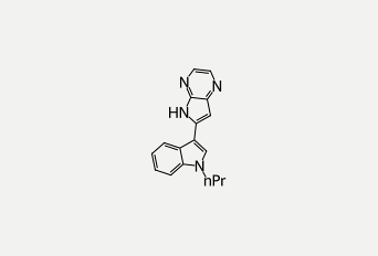 [CH2]CCn1cc(-c2cc3nccnc3[nH]2)c2ccccc21